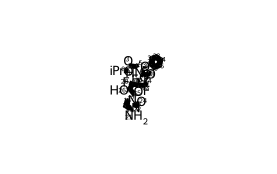 CC(C)OC(=O)[C@H](C)NP(=O)(OC[C@@]1(C(F)F)O[C@@H](n2ccc(N)nc2=O)[C@H](O)C1(F)F)Oc1ccccc1